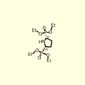 CCOP(=O)(OCC)[C@@H]1CC[C@@H](P(=O)(OCC)OCC)N1